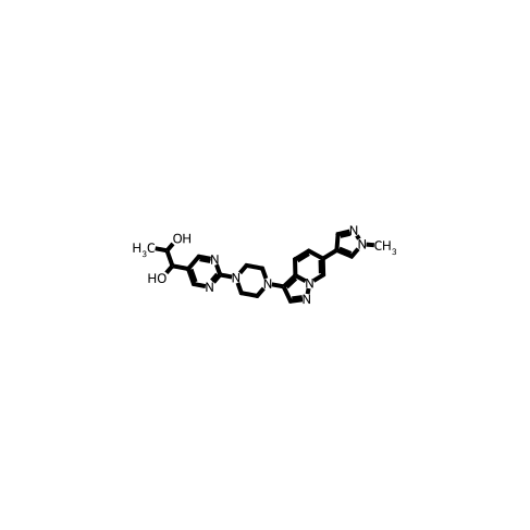 CC(O)C(O)c1cnc(N2CCN(c3cnn4cc(-c5cnn(C)c5)ccc34)CC2)nc1